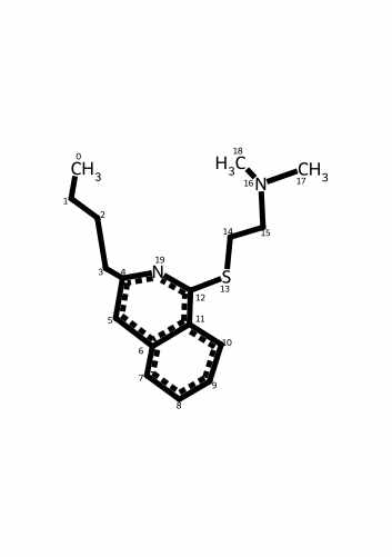 CCCCc1cc2ccccc2c(SCCN(C)C)n1